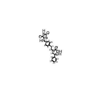 O=C1NC(=O)C(Nc2ccc(CCN(C[C@H](O)c3ccccc3)C(=O)O)cc2)S1